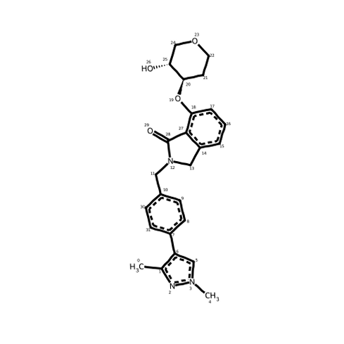 Cc1nn(C)cc1-c1ccc(CN2Cc3cccc(O[C@@H]4CCOC[C@H]4O)c3C2=O)cc1